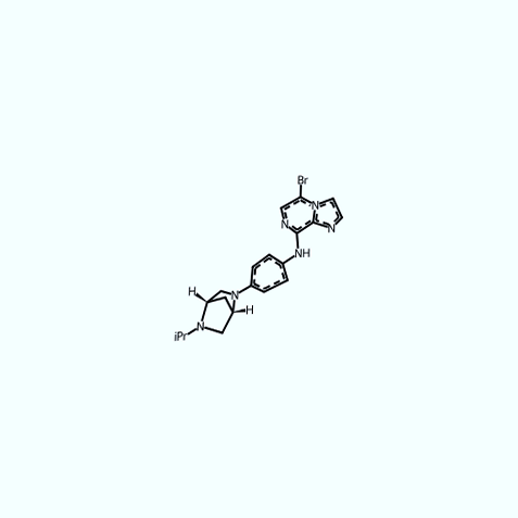 CC(C)N1C[C@@H]2C[C@H]1CN2c1ccc(Nc2ncc(Br)n3ccnc23)cc1